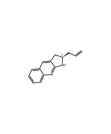 C=CC[C@@H]1Cc2cc3cc[c]cc3nc2N1